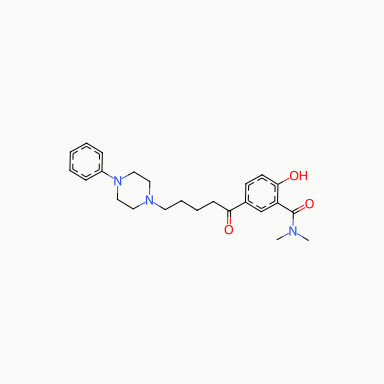 CN(C)C(=O)c1cc(C(=O)CCCCN2CCN(c3ccccc3)CC2)ccc1O